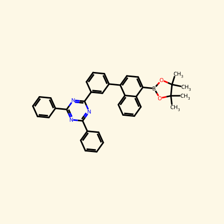 CC1(C)OB(c2ccc(-c3cccc(-c4nc(-c5ccccc5)nc(-c5ccccc5)n4)c3)c3ccccc23)OC1(C)C